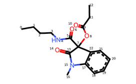 CCCCNC(=O)C1(OC(=O)CC)C(=O)N(C)c2ccccc21